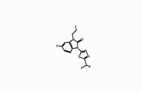 O=c1n(CCF)c2cc(F)ccc2n1-c1nnc(C(F)F)s1